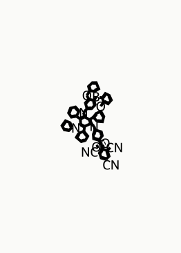 N#Cc1cc(C#N)c(S(=O)(=O)c2ccc(-n3c4ccccc4c4c3c3c5ccccc5n(-c5ccccc5)c3c3c5ccccc5n(-c5cc6c7c(c5)Oc5ccccc5B7c5ccccc5O6)c34)cc2)c(C#N)c1